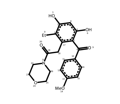 CCc1c(O)cc(O)c(C(=O)c2ccc(OC)cc2)c1CC(=O)N1CCOCC1